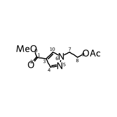 COC(=O)c1cnn(CCOC(C)=O)c1